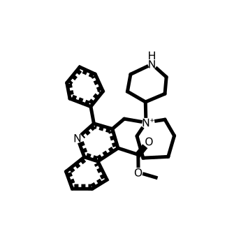 COC(=O)c1c(C[N+]2(C3CCNCC3)CCCCC2)c(-c2ccccc2)nc2ccccc12